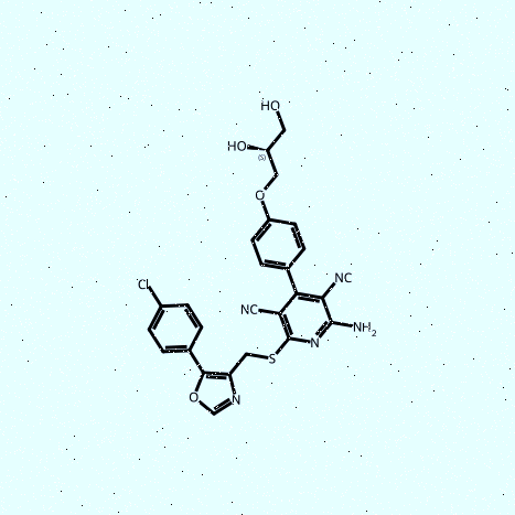 [C-]#[N+]c1c(N)nc(SCc2ncoc2-c2ccc(Cl)cc2)c(C#N)c1-c1ccc(OC[C@@H](O)CO)cc1